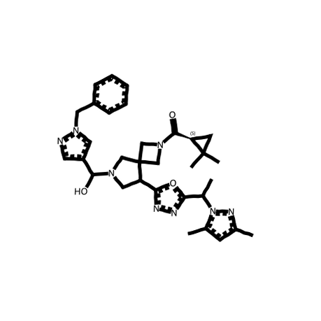 Cc1cc(C)n(C(C)c2nnc(C3CN(C(O)c4cnn(Cc5ccccc5)c4)CC34CN(C(=O)[C@H]3CC3(C)C)C4)o2)n1